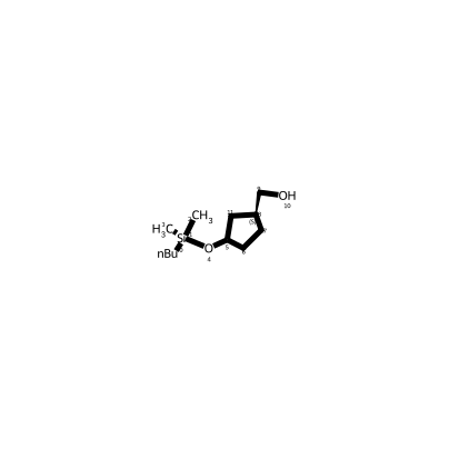 CCCC[Si](C)(C)OC1CC[C@H](CO)C1